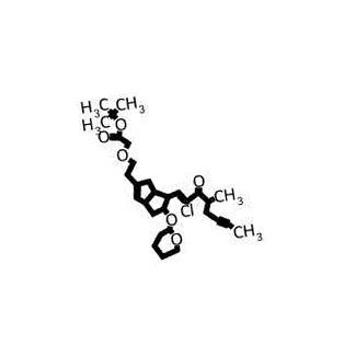 CC#CCC(C)C(=O)C(Cl)=CC1C(OC2CCCCO2)CC2C=C(CCOCC(=O)OC(C)(C)C)CC21